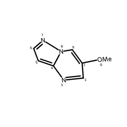 COc1cnc2[c]cnn2c1